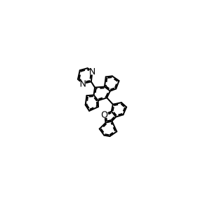 c1cnc(-c2c3ccccc3c(-c3cccc4c3oc3ccccc34)c3ccccc23)nc1